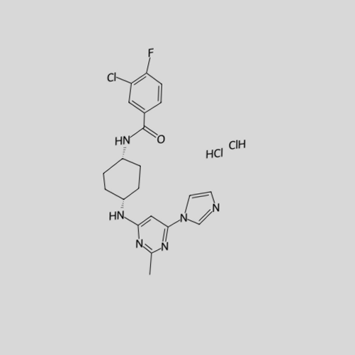 Cc1nc(N[C@H]2CC[C@@H](NC(=O)c3ccc(F)c(Cl)c3)CC2)cc(-n2ccnc2)n1.Cl.Cl